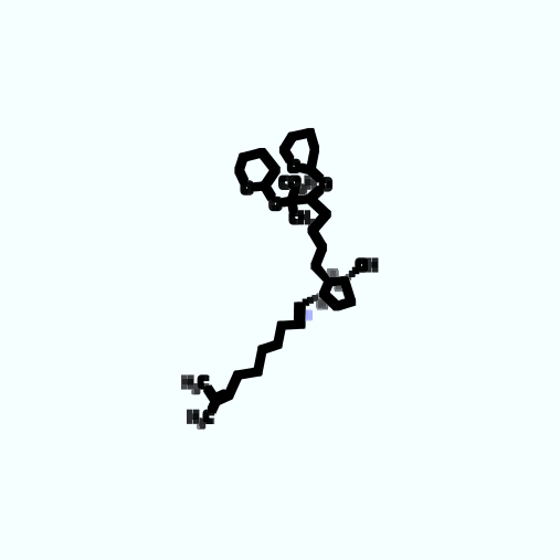 CC(C)=CCCCCC/C=C/[C@H]1CC[C@@H](O)[C@@H]1CCCCC(OC1CCCCO1)C(C)(OC1CCCCO1)C(=O)O